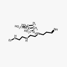 CC(=O)O.CC(=O)O.CC(=O)O.CC(=O)O.CCNCCNCCNCCC=N